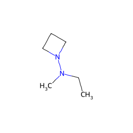 CCN(C)N1CCC1